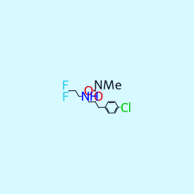 CNC(=O)OC(CNCCC(F)F)Cc1ccc(Cl)cc1